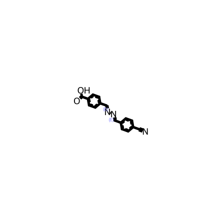 N#Cc1ccc(/C=N/N=C/c2ccc(C(=O)O)cc2)cc1